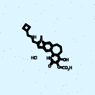 Cl.Cn1c(CNCC2CCC2)cc2cc3c(cc21)CCCc1c-3[nH]c(=O)c(OC(=O)O)c1O